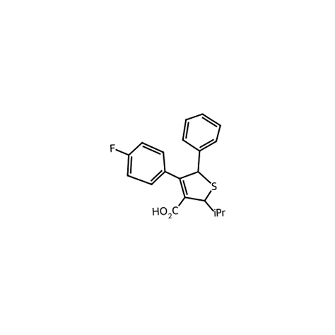 CC(C)C1SC(c2ccccc2)C(c2ccc(F)cc2)=C1C(=O)O